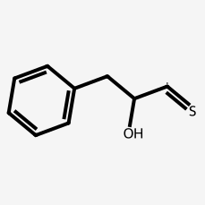 OC([C]=S)Cc1ccccc1